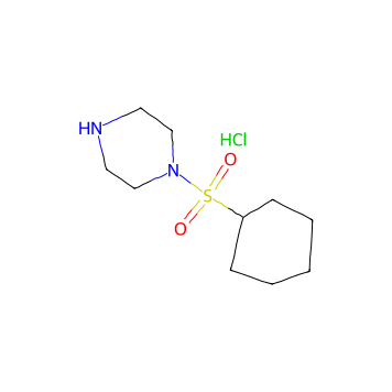 Cl.O=S(=O)(C1CCCCC1)N1CCNCC1